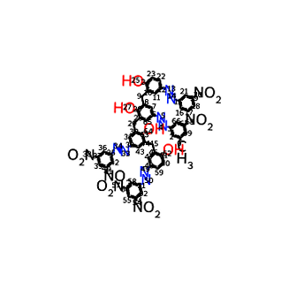 Cc1cc(N=Nc2cc(Cc3cc(N=Nc4cccc([N+](=O)[O-])c4)ccc3O)c(O)c(Cc3cc(N=Nc4cc([N+](=O)[O-])cc([N+](=O)[O-])c4)cc(Cc4cc(N=Nc5cc([N+](=O)[O-])cc([N+](=O)[O-])c5)ccc4O)c3O)c2)cc([N+](=O)[O-])c1